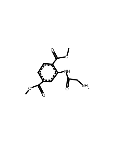 COC(=O)c1ccc(C(=O)OC)c(NC(=O)CN)c1